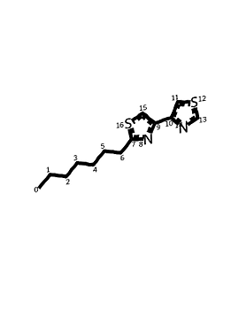 CCCCCCCc1nc(-c2cscn2)cs1